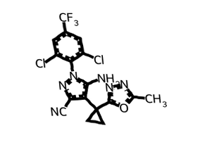 Cc1nnc(C2(c3c(C#N)nn(-c4c(Cl)cc(C(F)(F)F)cc4Cl)c3N)CC2)o1